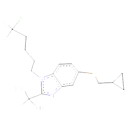 CC(C)(C)c1nc2cc(SCC3CC3)ccc2n1CCCCC(F)(F)F